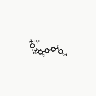 CC(C)(C(=O)O)[C@H]1CC[C@H](Oc2nc3nc(-c4ccc(-c5ccc(C(=O)N6CCC(O)CC6)cc5)cc4)c(Cl)cc3[nH]2)CC1